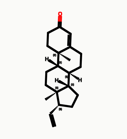 C=C[C@H]1CC[C@H]2[C@@H]3CCC4=CC(=O)CC[C@]4(C)[C@H]3CC[C@]12C